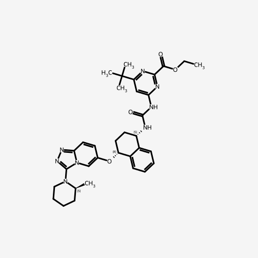 CCOC(=O)c1nc(NC(=O)N[C@H]2CC[C@@H](Oc3ccc4nnc(N5CCCC[C@@H]5C)n4c3)c3ccccc32)cc(C(C)(C)C)n1